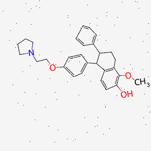 COc1c(O)ccc2c1CCC(c1ccccc1)C2c1ccc(OCCN2CCCC2)cc1